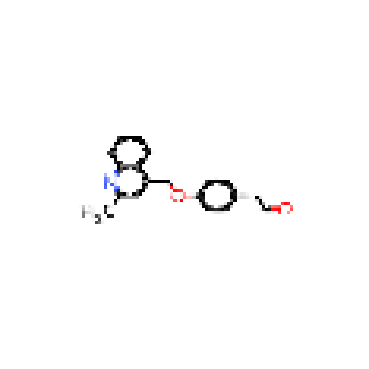 Cc1cc(COc2ccc(C[C]=O)cc2)c2ccccc2n1